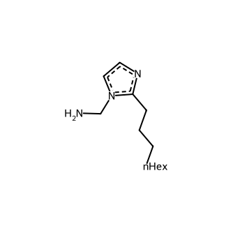 CCCCCCCCCc1nccn1CN